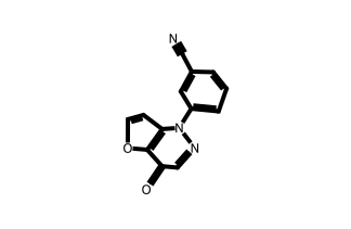 N#Cc1cccc(-n2ncc(=O)c3occc32)c1